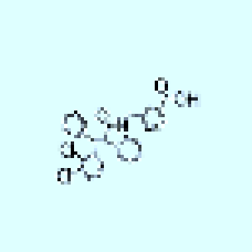 O=C(O)c1cccc(CN2C(=O)/C(=C(\c3ccccc3)c3cccc(Cl)c3Cl)c3ccccc32)c1